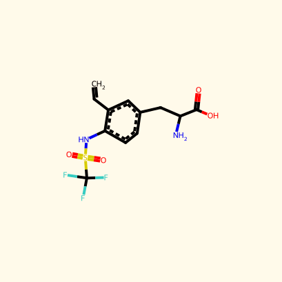 C=Cc1cc(CC(N)C(=O)O)ccc1NS(=O)(=O)C(F)(F)F